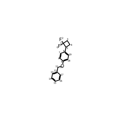 FC1(F)CCC1c1ccc(OCc2ccccc2)cc1